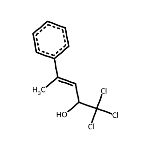 CC(=CC(O)C(Cl)(Cl)Cl)c1ccccc1